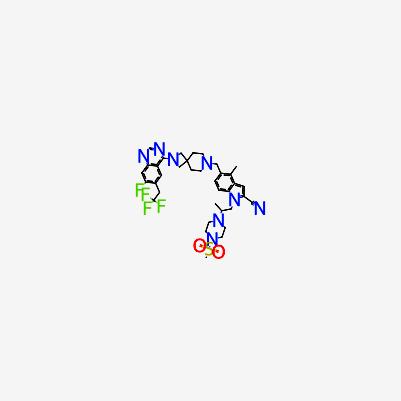 Cc1c(CN2CCC3(CC2)CN(c2ncnc4cc(F)c(CC(F)(F)F)cc24)C3)ccc2c1cc(C#N)n2CC(C)N1CCN(S(C)(=O)=O)CC1